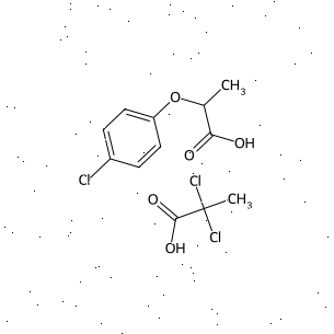 CC(Cl)(Cl)C(=O)O.CC(Oc1ccc(Cl)cc1)C(=O)O